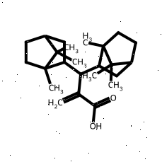 C=C(C(=O)O)C(C1CC2CCC1(C)C2(C)C)C1CC2CCC1(C)C2(C)C